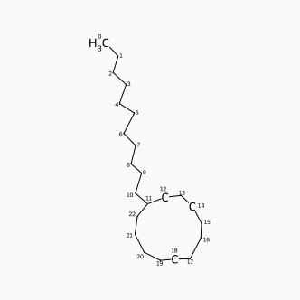 CCCCCCCCCCCC1CCCCCCCCCCC1